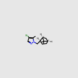 Cc1c(Br)cnn1C[C@@H]1CC[C@@H]2C[C@H]1C2(C)C